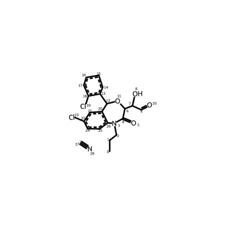 CCCN1C(=O)C(C(O)C=O)OC(c2ccccc2Cl)c2cc(Cl)ccc21.[C]#N